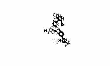 COc1ncnc(C2CC2)c1-c1ncc2c(n1)N(Cc1ccc(-c3nc(C(F)(F)F)cn3C)cc1)C(=O)C(C)(C)O2